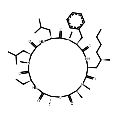 CCCC[C@@H](C)C[C@@H]1NC(=O)[C@H](Cc2ccccc2)N(C)C(=O)[C@H](CC(C)C)NC(=O)[C@H](CC(C)C)N(C)C(=O)[C@H](CC)NC(=O)[C@@H](C)OC(=O)[C@H](C)N(C)C1=O